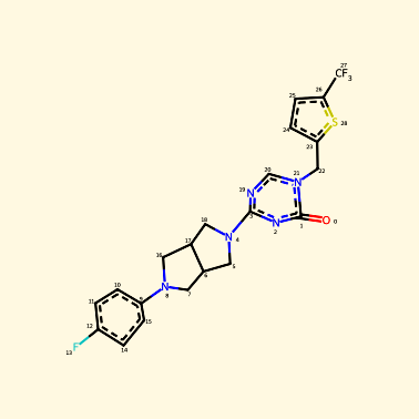 O=c1nc(N2CC3CN(c4ccc(F)cc4)CC3C2)ncn1Cc1ccc(C(F)(F)F)s1